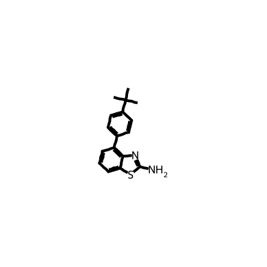 CC(C)(C)c1ccc(-c2cccc3sc(N)nc23)cc1